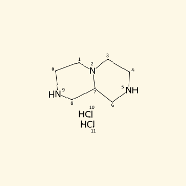 C1CN2CCNCC2CN1.Cl.Cl